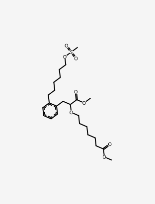 COC(=O)CCCCCCOC(Cc1ccccc1CCCCCCOS(C)(=O)=O)C(=O)OC